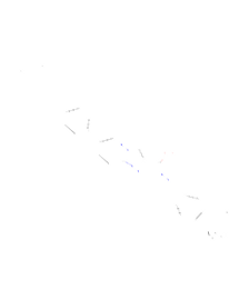 CCOC(=O)C[C@H]1CC[C@H](c2ccc(-c3ccc4nc(C(=O)NCc5ccc(OC)c(OC)c5)cn4c3)cc2)CC1